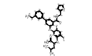 CC(C)CC(Oc1nc(Oc2cc(C(=O)NCc3ccco3)cc(-c3cccc(CN)c3)c2)c(F)cc1F)C(=O)O